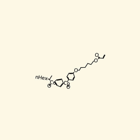 C=CC(=O)OCCCCCCOc1cc[c]([Co](=[O])[c]2cc[c]([Co](=[O])[CH](C)CCCCCC)cc2)cc1